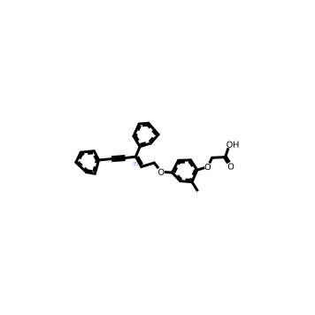 Cc1cc(OC/C=C(/C#Cc2ccccc2)c2ccccc2)ccc1OCC(=O)O